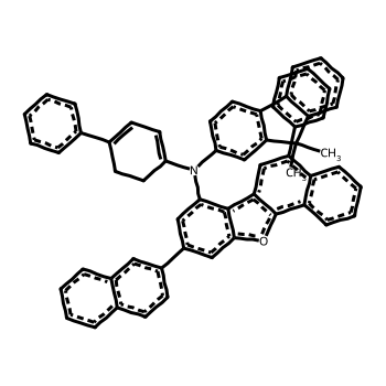 CC1(C)c2ccccc2-c2ccc(N(C3=CC=C(c4ccccc4)CC3)c3cc(-c4ccc5ccccc5c4)cc4oc5c6ccccc6c(-c6ccccc6)cc5c34)cc21